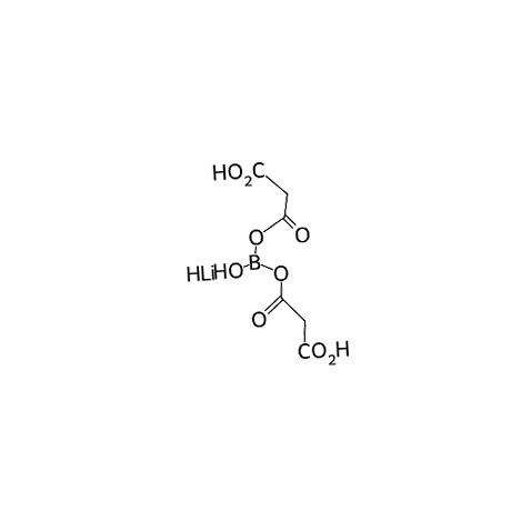 O=C(O)CC(=O)OB(O)OC(=O)CC(=O)O.[LiH]